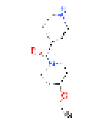 CC(C)(C)COC1CCN(C(=O)C2CCNCC2)CC1